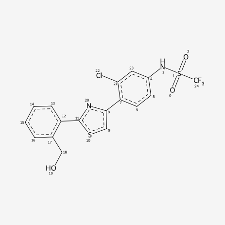 O=S(=O)(Nc1ccc(-c2csc(-c3ccccc3CO)n2)c(Cl)c1)C(F)(F)F